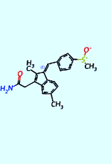 CC1=C(CC(N)=O)c2cc(C)ccc2/C1=C\c1ccc([S+](C)[O-])cc1